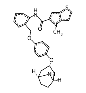 Cn1c(C(=O)Nc2ccccc2COc2ccc(O[C@@H]3C[C@H]4CC[C@@H](C3)N4)cc2)cc2sccc21